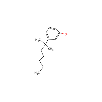 CCCCCC(C)(C)c1cccc([O])c1